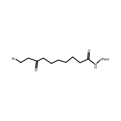 CCCCCNC(=O)CCCCCCC(=O)CCC(C)=O